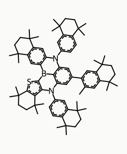 Cc1cc2c(cc1-c1cc3c4c(c1)N(c1ccc5c(c1)C(C)(C)CCC5(C)C)c1c(sc5c1C(C)(C)CCC5(C)C)B4c1cc4c(cc1N3c1ccc3c(c1)C(C)(C)CCC3(C)C)C(C)(C)CCC4(C)C)C(C)(C)CCC2(C)C